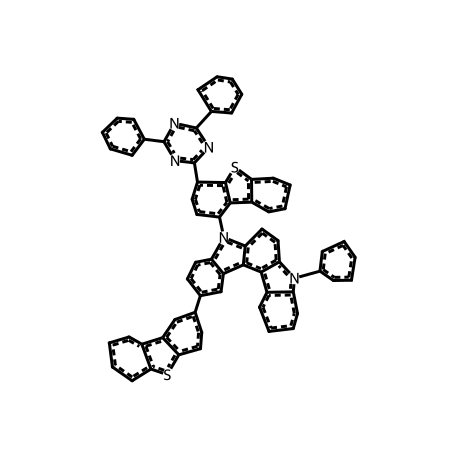 c1ccc(-c2nc(-c3ccccc3)nc(-c3ccc(-n4c5ccc(-c6ccc7sc8ccccc8c7c6)cc5c5c6c7ccccc7n(-c7ccccc7)c6ccc54)c4c3sc3ccccc34)n2)cc1